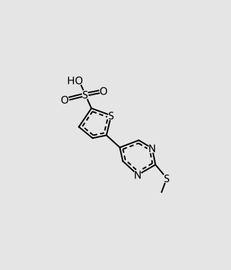 CSc1ncc(-c2ccc(S(=O)(=O)O)s2)cn1